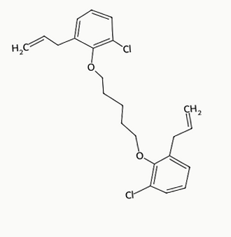 C=CCc1cccc(Cl)c1OCCCCCOc1c(Cl)cccc1CC=C